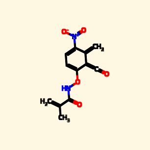 C=C(C)C(=O)NOc1ccc([N+](=O)[O-])c(=C)c1=C=O